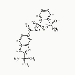 CC(C)(C)c1cc2cc(C(=O)NS(=O)(=O)c3ccccc3S(N)(=O)=O)ccc2o1